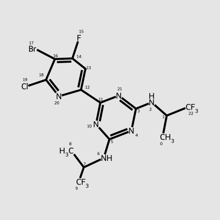 CC(Nc1nc(NC(C)C(F)(F)F)nc(-c2cc(F)c(Br)c(Cl)n2)n1)C(F)(F)F